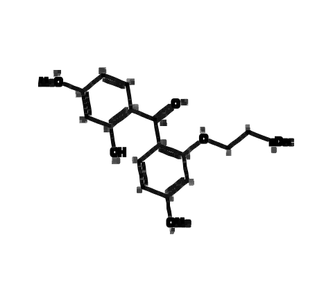 CCCCCCCCCCCCOc1cc(OC)ccc1C(=O)c1ccc(OC)cc1O